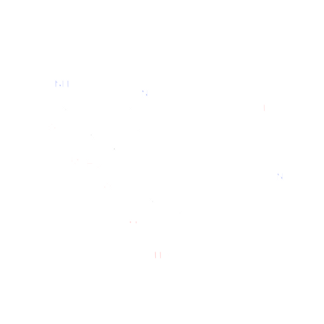 CN(C)C1C(O)=C(C(N)=O)C(=O)C2(O)C(O)=C3C(=O)c4c(O)ccc(-c5cncc(CO)c5)c4CC3CC12